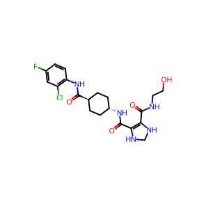 O=C(NCCO)C1=C(C(=O)N[C@H]2CC[C@H](C(=O)Nc3ccc(F)cc3Cl)CC2)NCN1